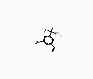 C=Cc1cc(C(C)(C)C)cc(C(C)(C(F)(F)F)C(F)(F)F)c1